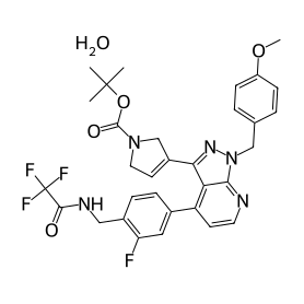 COc1ccc(Cn2nc(C3=CCN(C(=O)OC(C)(C)C)C3)c3c(-c4ccc(CNC(=O)C(F)(F)F)c(F)c4)ccnc32)cc1.O